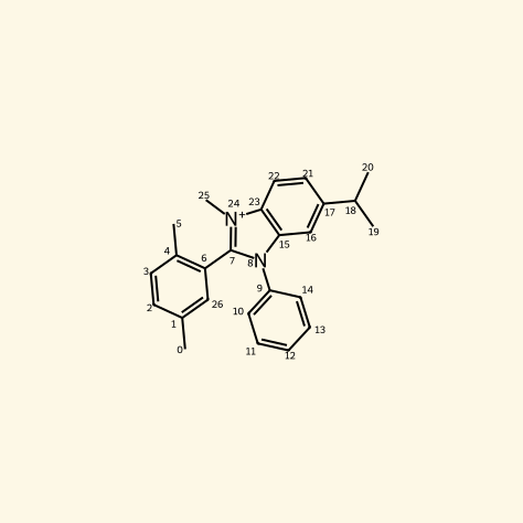 Cc1ccc(C)c(-c2n(-c3ccccc3)c3cc(C(C)C)ccc3[n+]2C)c1